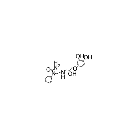 NC(=O)N(CCNCC(O)COc1ccc(O)c(O)c1)c1ccccc1